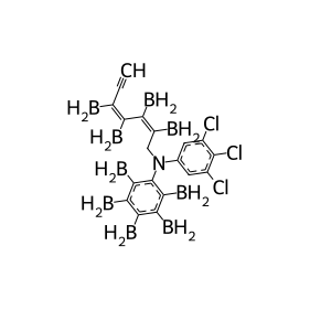 B/C(C#C)=C(B)/C(B)=C(/B)CN(c1cc(Cl)c(Cl)c(Cl)c1)c1c(B)c(B)c(B)c(B)c1B